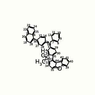 C[Si]1(C)c2cc(N(c3ccccc3)c3ccc(-c4cccc5ccccc45)cc3)ccc2-c2c1ccc1oc3ccccc3c21